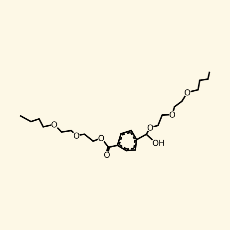 CCCCOCCOCCOC(=O)c1ccc(C(O)OCCOCCOCCCC)cc1